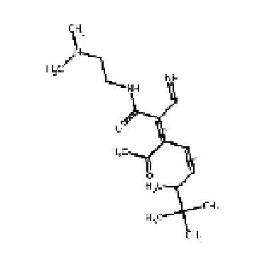 CC(=O)C(/C=C\C(C)C(C)(C)C)=C(/C=N)C(=O)NCCN(C)C